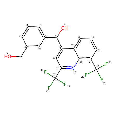 OCc1cccc(C(O)c2cc(C(F)(F)F)nc3c(C(F)(F)F)cccc23)c1